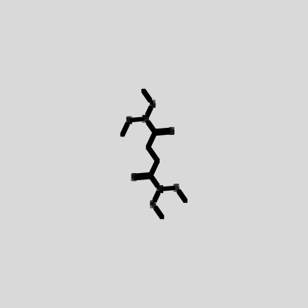 CSN(SC)C(=S)CCC(=S)N(SC)SC